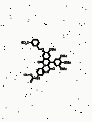 COC(=O)c1c(-c2cc(OC)c(OC)c(OC)c2)c2cc(OC)c(OCc3cccc(C(=O)O)c3)cc2c(=O)n1-c1ccc(NC(=O)OC(C)(C)C)cc1